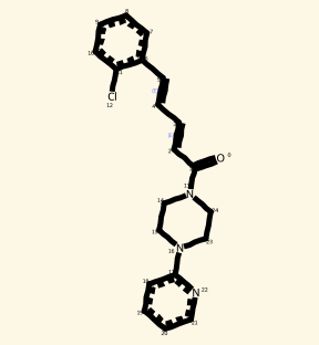 O=C(/C=C/C=C/c1ccccc1Cl)N1CCN(c2ccccn2)CC1